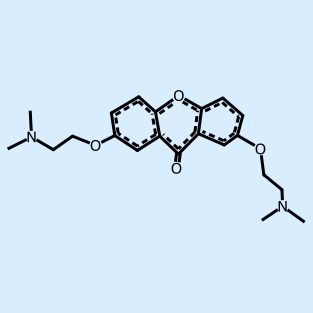 CN(C)CCOc1ccc2oc3ccc(OCCN(C)C)cc3c(=O)c2c1